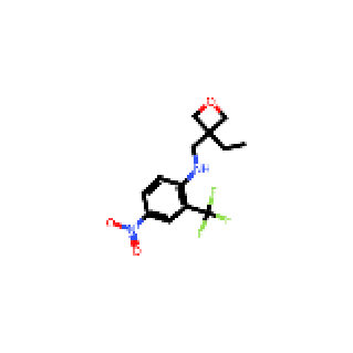 CCC1(CNc2ccc([N+](=O)[O-])cc2C(F)(F)F)COC1